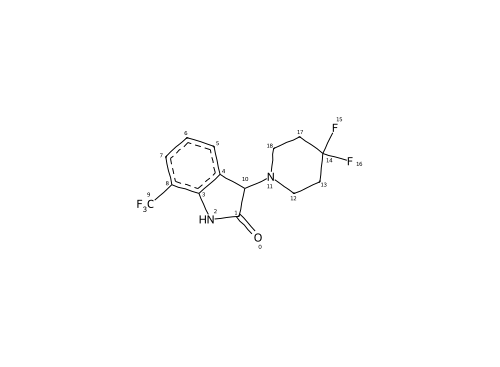 O=C1Nc2c(cccc2C(F)(F)F)C1N1CCC(F)(F)CC1